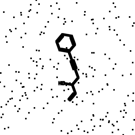 C=CC(O)CC#Cc1ccccc1